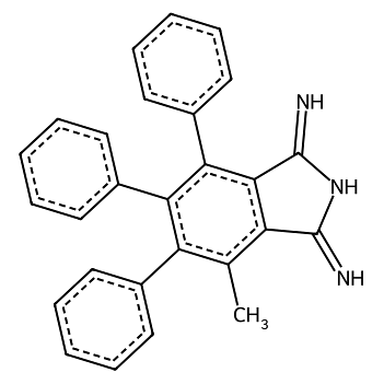 Cc1c2c(c(-c3ccccc3)c(-c3ccccc3)c1-c1ccccc1)C(=N)NC2=N